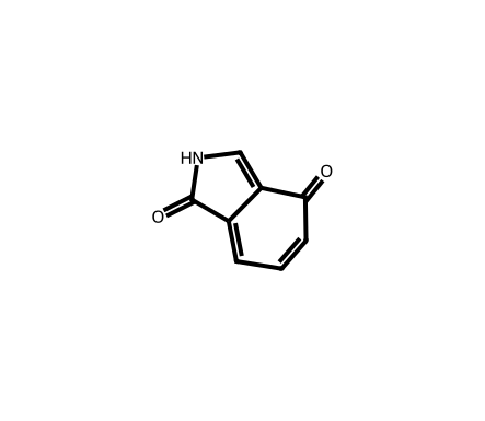 O=C1C=CC=C2C(=O)NC=C12